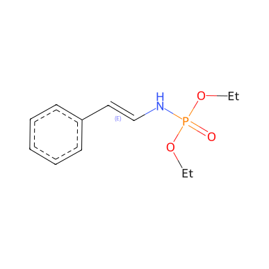 CCOP(=O)(N/C=C/c1ccccc1)OCC